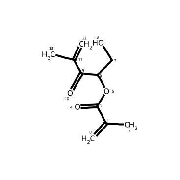 C=C(C)C(=O)OC(CO)C(=O)C(=C)C